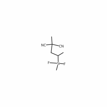 CC(CC(C)(C#N)C#N)[Si](C)(F)F